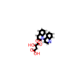 O=C(O)CC(O)C(=O)O.c1ccc2ncccc2c1.c1ccc2ncccc2c1